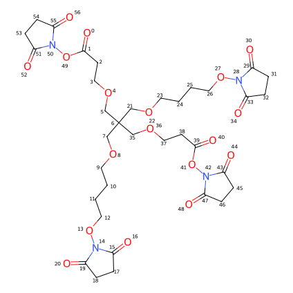 O=C(CCOCC(COCCCCON1C(=O)CCC1=O)(COCCCCON1C(=O)CCC1=O)COCCC(=O)ON1C(=O)CCC1=O)ON1C(=O)CCC1=O